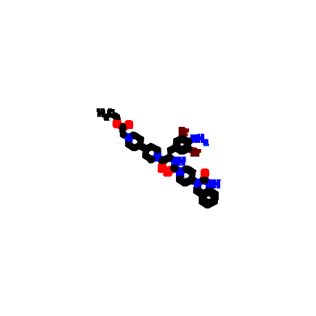 CCOC(=O)CN1CCC(C2CCN(C(=O)[C@@H](Cc3cc(Br)c(N)c(Br)c3)NC(=O)N3CCC(N4Cc5ccccc5NC4=O)CC3)CC2)CC1